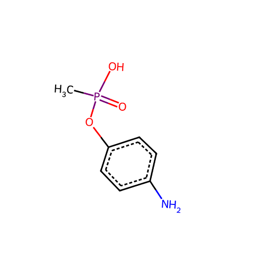 CP(=O)(O)Oc1ccc(N)cc1